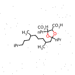 CCCC1(CC(C)CCCC(C)CCCC(C)C)O[C@H](C(=O)O)[C@@](CCC)(C(=O)O)O1